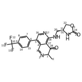 CC1N=Cc2c(-c3ccc(C(F)(F)F)cc3)cnc(NC[C@H]3COC(=O)N3)c2C1=O